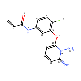 C=CC(=O)Nc1ccc(F)c(Oc2cccc(=N)n2N)c1